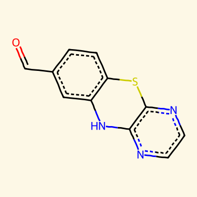 O=Cc1ccc2c(c1)Nc1nccnc1S2